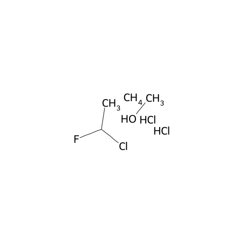 C.CC(F)Cl.CO.Cl.Cl